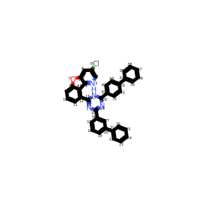 Clc1cnc2c(c1)oc1cccc(C3=NC(c4cccc(-c5ccccc5)c4)=NC(c4ccc(-c5ccccc5)cc4)N3)c12